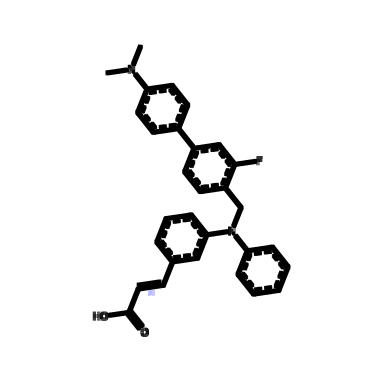 CN(C)c1ccc(-c2ccc(CN(c3ccccc3)c3cccc(/C=C/C(=O)O)c3)c(F)c2)cc1